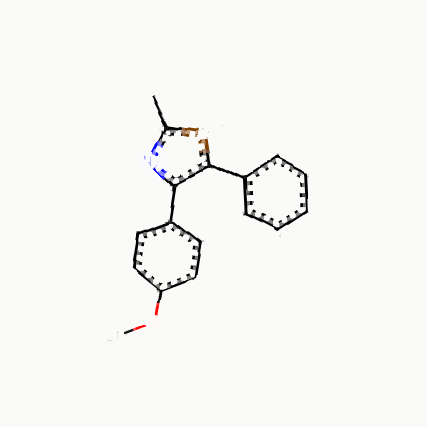 CCOc1ccc(-c2nc(C)sc2-c2ccccc2)cc1